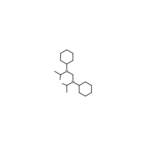 CC(C)N(CN(C(C)C)C1CCCCC1)C1CCCCC1